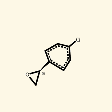 Clc1ccc([C@H]2CO2)cc1